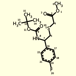 COC(=O)CSCC(NC(=O)OC(C)(C)C)c1ccc(F)cc1